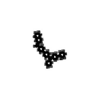 CN(c1ccc(-c2ccc(N(c3ccccc3)c3ccc(-c4ccccc4)cc3)cc2)cc1)c1ccc2ccccc2c1